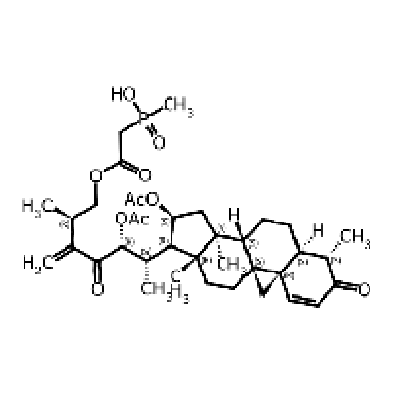 C=C(C(=O)[C@H](OC(C)=O)[C@@H](C)[C@H]1[C@@H](OC(C)=O)C[C@@]2(C)[C@@H]3CC[C@H]4[C@H](C)C(=O)C=C[C@@]45C[C@@]35CC[C@]12C)[C@@H](C)COC(=O)CP(C)(=O)O